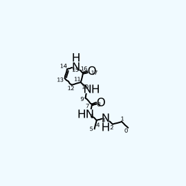 CCCNC(C)NC(=O)CNC1CC=CNC1=O